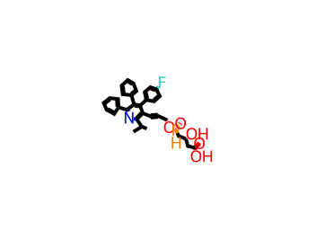 CC(C)c1nc(-c2ccccc2)c(-c2ccccc2)c(-c2ccc(F)cc2)c1C#CCO[PH](=O)CC(O)CC(=O)O